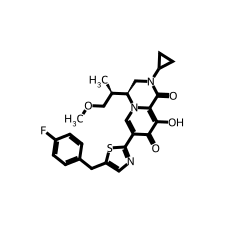 COC[C@@H](C)[C@H]1CN(C2CC2)C(=O)c2c(O)c(=O)c(-c3ncc(Cc4ccc(F)cc4)s3)cn21